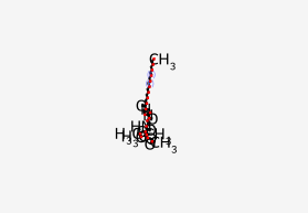 CCCCC/C=C/C/C=C/CCCCCCCC(=O)N1CCN(C(=O)CCNC(=O)C(OC(C)=O)C(C)(C)COC(C)=O)CC1